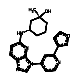 C[C@]1(O)CCC[C@H](Nc2ccc3ncn(-c4ccnc(-c5ccoc5)c4)c3n2)C1